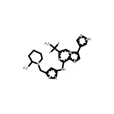 CC1CCCCN1Cc1cc(Nc2nc(C(C)(F)F)cn3c(-c4cn[nH]c4)cnc23)sn1